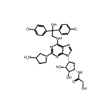 NC1CCN(c2nc(NCC(O)(c3ccc(Cl)cc3)c3ccc(Cl)cc3)c3ncn([C@@H]4C[C@H](NC(=O)CO)[C@@H](O)[C@H]4O)c3n2)C1